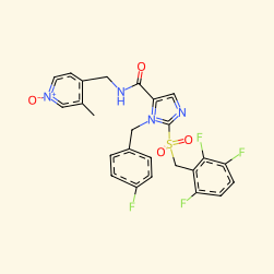 Cc1c[n+]([O-])ccc1CNC(=O)c1cnc(S(=O)(=O)Cc2c(F)ccc(F)c2F)n1Cc1ccc(F)cc1